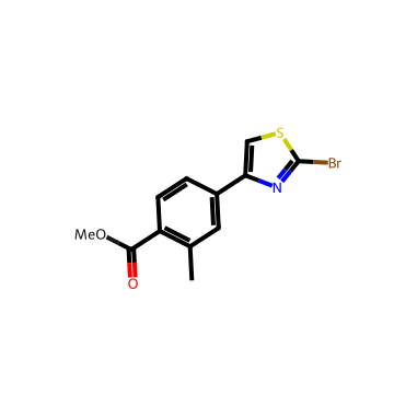 COC(=O)c1ccc(-c2csc(Br)n2)cc1C